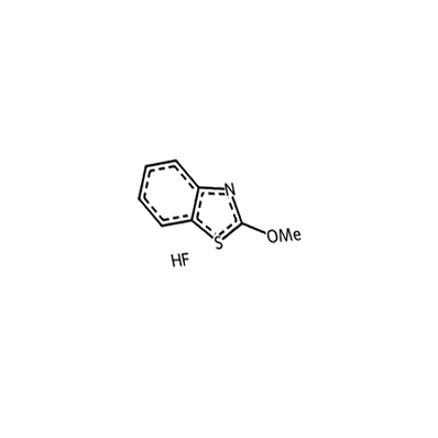 COc1nc2ccccc2s1.F